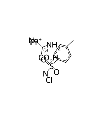 CC(C)[C@H](N)C(=O)O.Cc1ccc(S(=O)(=O)[N-]Cl)cc1.[Na+]